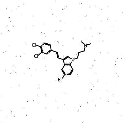 CN(C)CCCn1cc(/C=C/c2ccc(Cl)c(Cl)c2)c2cc(Br)ccc21